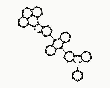 c1ccc(-n2c3ccccc3c3cc(-c4c5ccccc5c(-c5ccc6c(c5)oc5c7cccc8ccc9cccc(c65)c9c87)c5ccccc45)ccc32)cc1